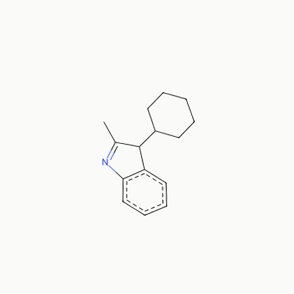 CC1=Nc2ccccc2C1C1CCCCC1